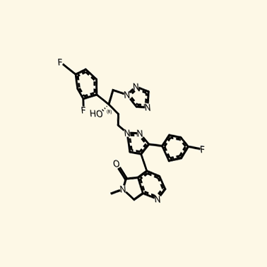 CN1Cc2nccc(-c3cn(CC[C@](O)(Cn4cncn4)c4ccc(F)cc4F)nc3-c3ccc(F)cc3)c2C1=O